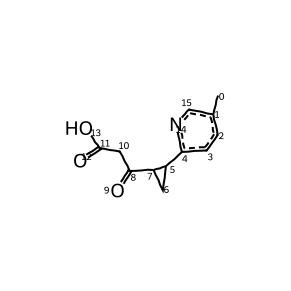 Cc1ccc(C2CC2C(=O)CC(=O)O)nc1